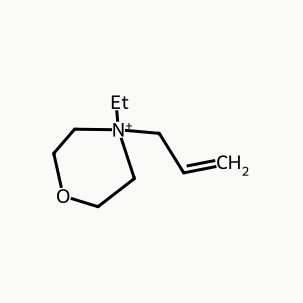 C=CC[N+]1(CC)CCOCC1